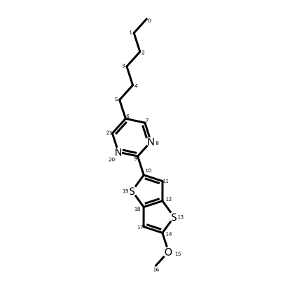 CCCCCCc1cnc(-c2cc3sc(OC)cc3s2)nc1